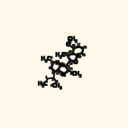 CCC(CC)c1cc(C)nn2c(-c3oc4cccc(OC)c4c3C)c(C)nc12